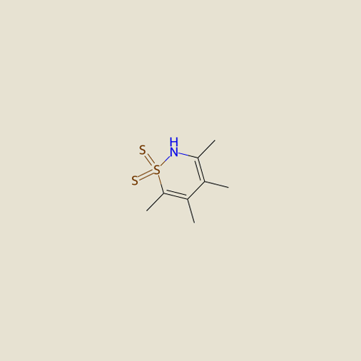 CC1=C(C)C(C)=C(C)S(=S)(=S)N1